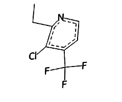 CCc1nccc(C(F)(F)F)c1Cl